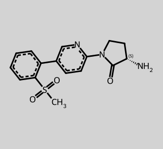 CS(=O)(=O)c1ccccc1-c1ccc(N2CC[C@H](N)C2=O)nc1